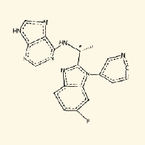 C[C@@H](Nc1ncnc2[nH]cnc12)c1nc2ccc(F)cc2n1-c1cccnc1